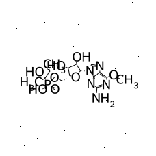 CCC(C)(O)P(=O)(O)OC[C@H]1O[C@@H](n2cnc3c(OC)nc(N)nc32)[C@H](O)[C@@H]1O